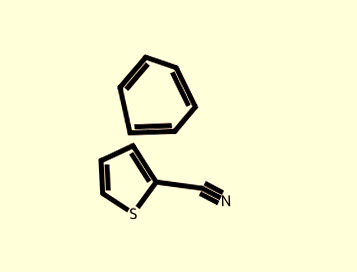 N#Cc1cccs1.c1ccccc1